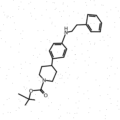 CC(C)(C)OC(=O)N1CCC(c2ccc(NCCc3ccccc3)cc2)CC1